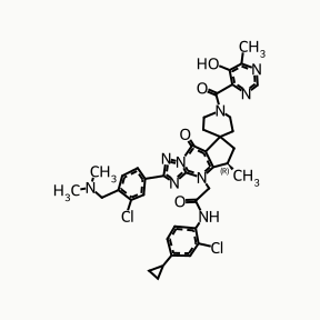 Cc1ncnc(C(=O)N2CCC3(CC2)C[C@@H](C)c2c3c(=O)n3nc(-c4ccc(CN(C)C)c(Cl)c4)nc3n2CC(=O)Nc2ccc(C3CC3)cc2Cl)c1O